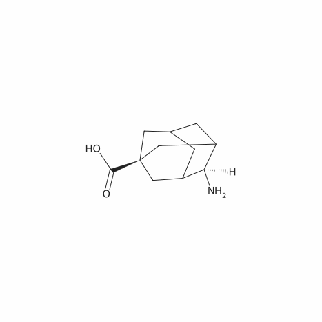 N[C@H]1C2CC3CC1C[C@@](C(=O)O)(C3)C2